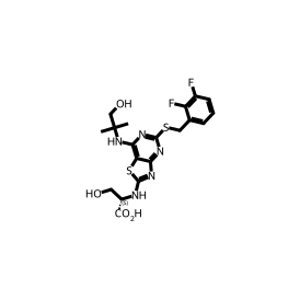 CC(C)(CO)Nc1nc(SCc2cccc(F)c2F)nc2nc(N[C@@H](CO)C(=O)O)sc12